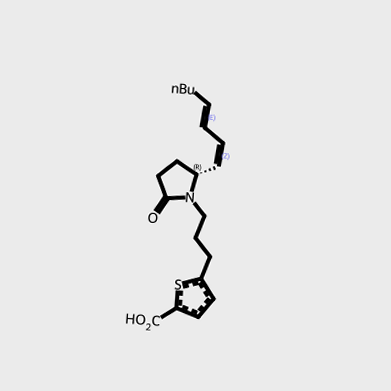 CCCC/C=C/C=C\[C@H]1CCC(=O)N1CCCc1ccc(C(=O)O)s1